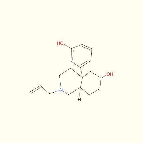 C=CCN1CC[C@@]2(c3cccc(O)c3)CC(O)CC[C@H]2C1